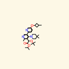 Cc1ncc(-c2ccc(OC3CC(C)C3)cn2)c(N2CCC(C)(C)CC2)c1[C@H](OC(C)(C)C)C(=O)OC(C)C